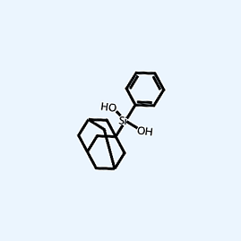 O[Si](O)(c1ccccc1)C12CC3CC(CC(C3)C1)C2